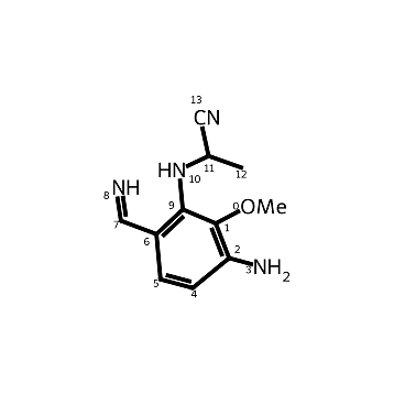 COc1c(N)ccc(C=N)c1NC(C)C#N